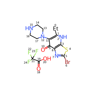 CCc1[nH]c2sc(Br)nc2c(=O)c1N1CCNCC1.O=C(O)C(F)(F)F